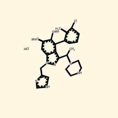 COc1cc2c(c(C(C)N3CCNCC3)nn2Cc2c[nH]cn2)c(-c2cccc(Cl)c2C)c1OC.Cl